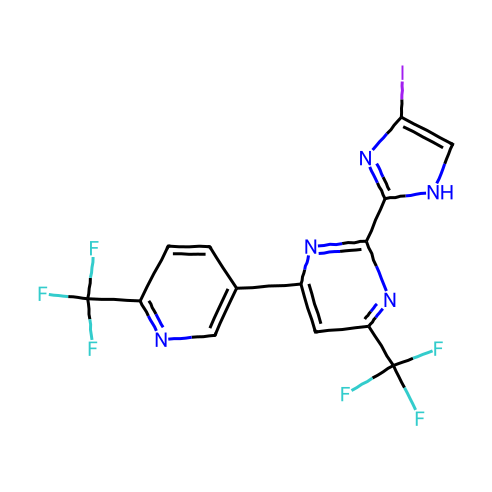 FC(F)(F)c1ccc(-c2cc(C(F)(F)F)nc(-c3nc(I)c[nH]3)n2)cn1